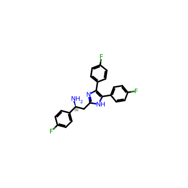 N[C@@H](Cc1nc(-c2ccc(F)cc2)c(-c2ccc(F)cc2)[nH]1)c1ccc(F)cc1